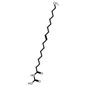 CCCCCCCCC=CCCCCCCCC(=O)NC(=O)O